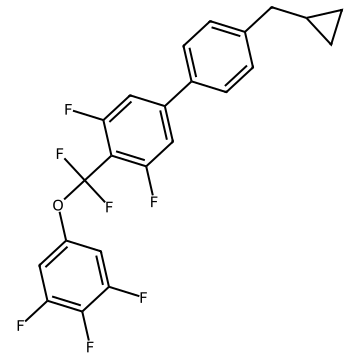 Fc1cc(OC(F)(F)c2c(F)cc(-c3ccc(CC4CC4)cc3)cc2F)cc(F)c1F